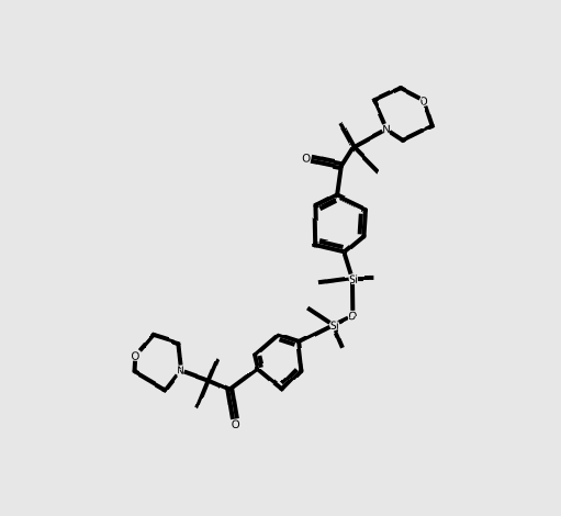 CC(C)(C(=O)c1ccc([Si](C)(C)O[Si](C)(C)c2ccc(C(=O)C(C)(C)N3CCOCC3)cc2)cc1)N1CCOCC1